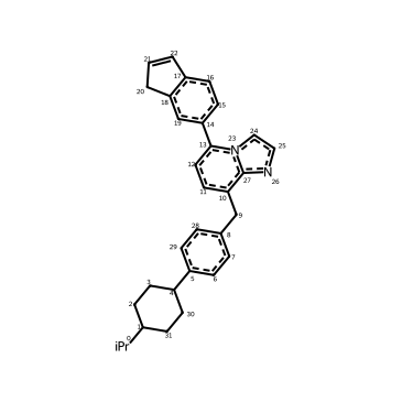 CC(C)C1CCC(c2ccc(Cc3ccc(-c4ccc5c(c4)CC=C5)n4ccnc34)cc2)CC1